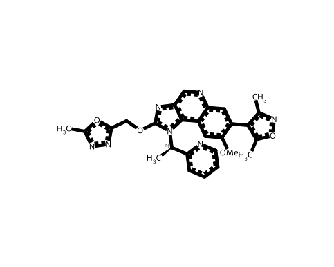 COc1cc2c(cc1-c1c(C)noc1C)ncc1nc(OCc3nnc(C)o3)n([C@H](C)c3ccccn3)c12